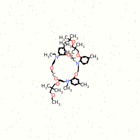 CCOCC(C)(C)CO/C1=C/N(CC)c2ccc(C)cc2OCCN(c2ccc(C)cc2OCC(C)(C)COC(C)(C)C)CCOc2cc(C)ccc2N(CC)/C=C\OCCO1